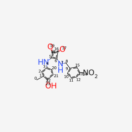 Cc1cc(Nc2c(NCc3cccc([N+](=O)[O-])c3)c(=O)c2=O)ccc1O